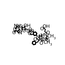 CC(NC(=O)CCC(=O)O)C(=O)NC(C)C(=O)NC(Cc1ccccc1)C(=O)Nc1ccc2c(c1)COP(=O)(OCC1OC(n3ncc4c(=O)oc(N)nc43)C(O)C1O)O2